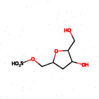 O=S(=O)(O)OCC1CC(O)C(CO)O1